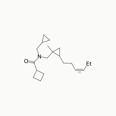 CC/C=C\CCC1CC1(C)CN(CC1CC1)C(=O)C1CCC1